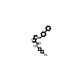 CC(=O)C1CC2(CC(NC(=O)c3csc4ccn(Cc5ccc(-c6ccccc6)cc5)c34)C2)C1